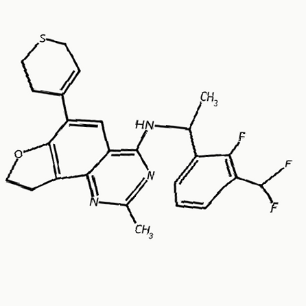 Cc1nc(NC(C)c2cccc(C(F)F)c2F)c2cc(C3=CCSCC3)c3c(c2n1)CCO3